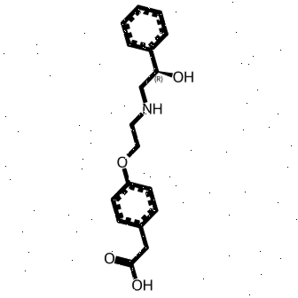 O=C(O)Cc1ccc(OCCNC[C@H](O)c2ccccc2)cc1